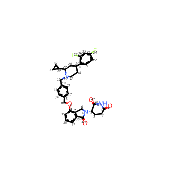 O=C1CC[C@H](N2Cc3c(OCc4ccc(CN5CCC(c6ccc(F)cc6F)CC5C5CC5)cc4)cccc3C2=O)C(=O)N1